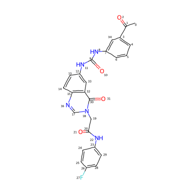 CC(=O)c1cccc(NC(=O)Nc2ccc3ncn(CC(=O)Nc4ccc(F)cc4)c(=O)c3c2)c1